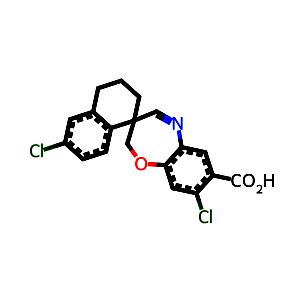 O=C(O)c1cc2c(cc1Cl)OCC1(C=N2)CCCc2cc(Cl)ccc21